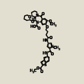 COC(=O)c1cc2cc(NC(=O)c3cc(NC(=O)CCCOc4cc5c(cc4OC)C(=O)N4CCCC[C@H]4C(OC4CCCCO4)N5C(=O)O)cn3C)ccc2s1